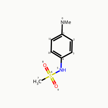 CNc1ccc(NS(C)(=O)=O)cc1